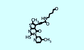 Cc1ccnc(-n2c(S)nc3sc(C)c(C#CC(=O)NCCCC=O)c3c2=O)c1